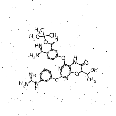 CC(O)C1Oc2nc(Oc3cccc(NC(=N)N)c3)nc(Oc3ccc(C(=N)N)c(C(=O)OC(C)(C)C)c3)c2NC1=O